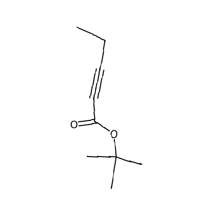 CCC#CC(=O)OC(C)(C)C